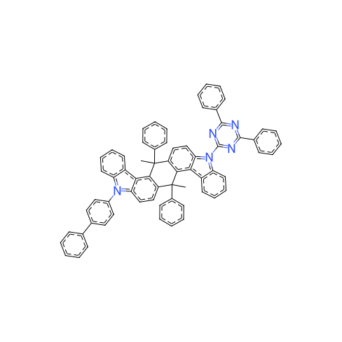 CC1(c2ccccc2)c2ccc3c(c2C(C)(c2ccccc2)c2ccc4c(c21)c1ccccc1n4-c1ccc(-c2ccccc2)cc1)c1ccccc1n3-c1nc(-c2ccccc2)nc(-c2ccccc2)n1